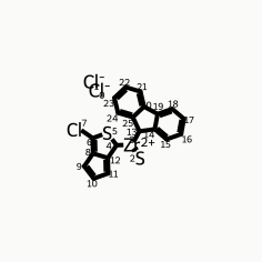 [Cl-].[Cl-].[S]=[Zr+2]([CH]1SC(Cl)=C2C=CC=C21)[CH]1c2ccccc2-c2ccccc21